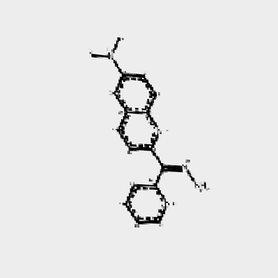 CN(C)c1ccc2nc(C(=NN)c3ccccn3)ccc2c1